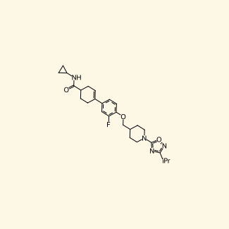 CC(C)c1noc(N2CCC(COc3ccc(C4=CCC(C(=O)NC5CC5)CC4)cc3F)CC2)n1